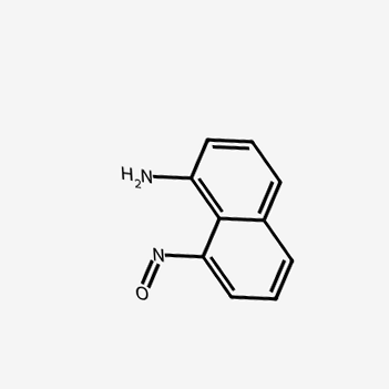 Nc1cccc2cccc(N=O)c12